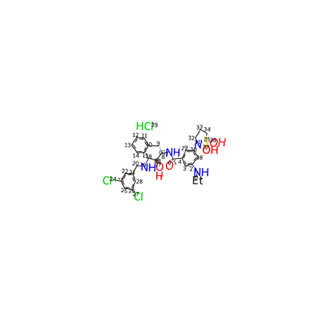 CCNc1cc(C(=O)N[C@@H](Cc2ccccc2)[C@@H](O)CNCc2cc(Cl)cc(Cl)c2)cc(N2CCCS2(O)O)c1.Cl